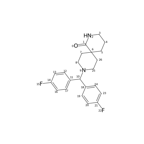 O=C1NCCCC12CCN(C(c1ccc(F)cc1)c1ccc(F)cc1)CC2